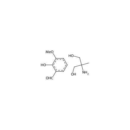 CC(N)(CO)CO.COc1cccc(C=O)c1O